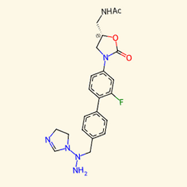 CC(=O)NC[C@H]1CN(c2ccc(-c3ccc(CN(N)N4C=NCC4)cc3)c(F)c2)C(=O)O1